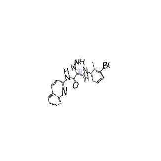 C/C(Nc1cccc(Br)c1C)=C(/N=N)C(=O)Nc1ccc2ccccc2n1